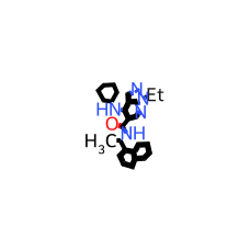 CCn1ncc2c(NC3CCCCC3)c(C(=O)NC(C)c3cccc4ccccc34)cnc21